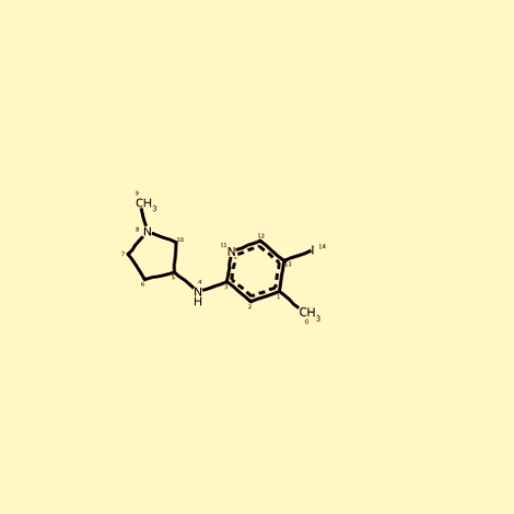 Cc1cc(NC2CCN(C)C2)ncc1I